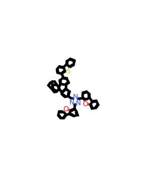 c1ccc2c(c1)oc1c(-c3nc(-c4ccc5c(c4)-c4ccc(-c6cccc7c6sc6ccccc67)cc4C54C5CC6CC(C5)CC4C6)nc(-c4cccc5c4oc4ccccc45)n3)cccc12